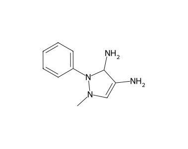 CN1C=C(N)C(N)N1c1ccccc1